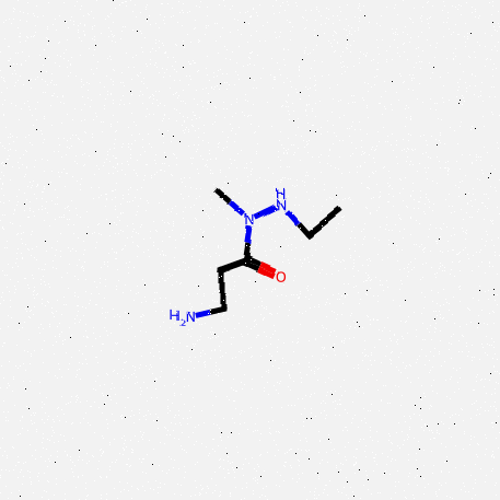 CCNN(C)C(=O)CCN